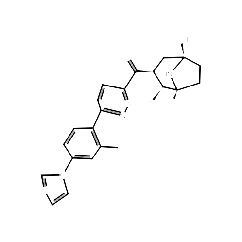 C=C(c1ccc(-c2ccc(-n3ccnc3)cc2O)nn1)[C@H]1C[C@]2(C)CC[C@@](C)(N2)[C@H]1F